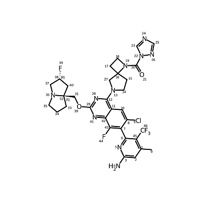 Cc1cc(N)nc(-c2c(Cl)cc3c(N4CCC5(CCN5C(=O)n5cncn5)C4)nc(OC[C@@]45CCCN4C[C@H](F)C5)nc3c2F)c1C(F)(F)F